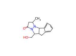 CC1CC(=O)N2C(CO)C3Cc4ccccc4C3N12